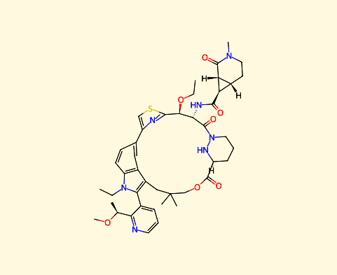 CCO[C@@H]1c2nc(cs2)-c2ccc3c(c2)c(c(-c2cccnc2[C@H](C)OC)n3CC)CC(C)(C)COC(=O)[C@@H]2CCCN(N2)C(=O)[C@H]1NC(=O)[C@@H]1[C@H]2CCN(C)C(=O)[C@H]21